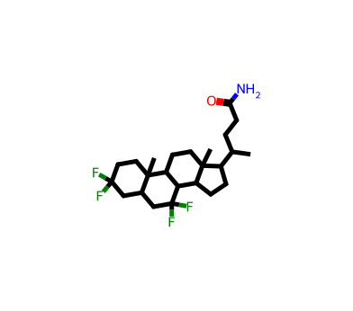 CC(CCC(N)=O)C1CCC2C3C(CCC12C)C1(C)CCC(F)(F)CC1CC3(F)F